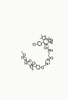 CCOC(=O)CNC(=O)Cc1csc(-c2ccc(OCCN3CCN(C(=O)CCCNC(=O)C[C@@H]4N=C(c5ccc(Cl)cc5)c5c(sc(C)c5C)-n5c(C)nnc54)CC3)cc2Cl)n1